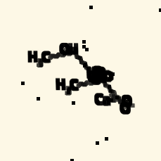 CCCCCC[C@@H](O)C/C=C\CCCCCCCC(=O)[O-].CCCCCC[C@@H](O)C/C=C\CCCCCCCC(=O)[O-].Oc1ccccc1.[Ca+2]